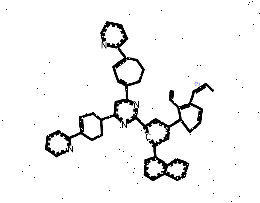 C=CC1=C(/C=C\C)C=CCC1c1cc(-c2nc(C3=CC=C(c4ccccn4)CCC3)cc(C3CC=C(c4ccccn4)CC3)n2)cc(-c2cccc3ccccc23)c1